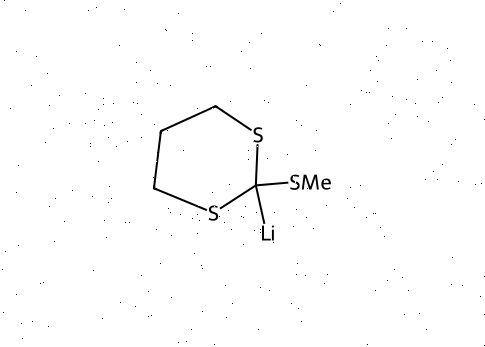 [Li][C]1(SC)SCCCS1